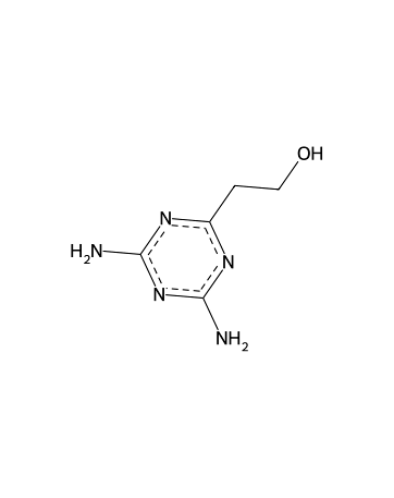 Nc1nc(N)nc(CCO)n1